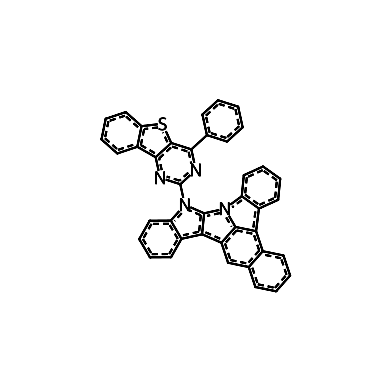 c1ccc(-c2nc(-n3c4ccccc4c4c5cc6ccccc6c6c7ccccc7n(c56)c43)nc3c2sc2ccccc23)cc1